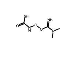 CN(C)C(=N)OONC(=O)S